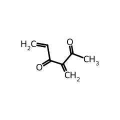 C=CC(=O)C(=C)C(C)=O